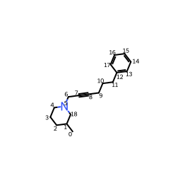 CC1CCCN(CC#CCCCc2ccccc2)C1